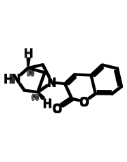 O=c1oc2ccccc2cc1N1C[C@@H]2C[C@H]1CN2